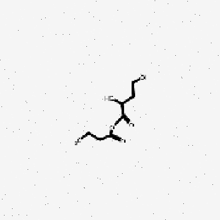 CCCC(=O)OC(=O)C(O)CCO